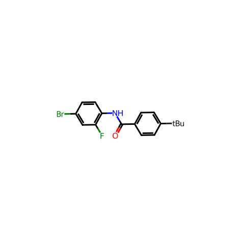 CC(C)(C)c1ccc(C(=O)Nc2ccc(Br)cc2F)cc1